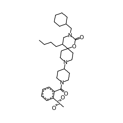 CCCCC1CN(CC2CCCCC2)C(=O)OC12CCN(C1CCN(C(=O)c3ccccc3S(C)(=O)=O)CC1)CC2